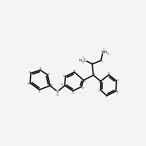 CC(CN)C(c1ccccc1)c1ccc(Sc2ccccc2)cc1